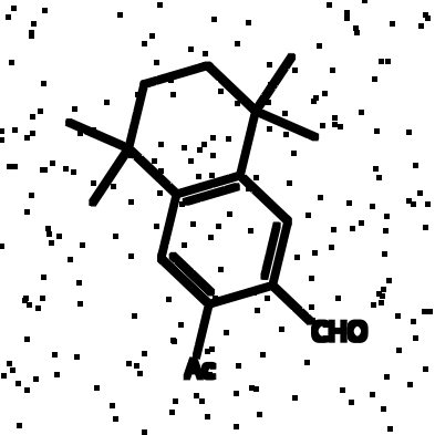 CC(=O)c1cc2c(cc1C=O)C(C)(C)CCC2(C)C